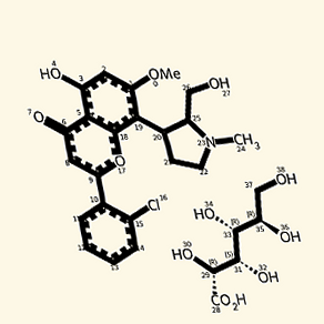 COc1cc(O)c2c(=O)cc(-c3ccccc3Cl)oc2c1C1CCN(C)C1CO.O=C(O)[C@H](O)[C@@H](O)[C@H](O)[C@H](O)CO